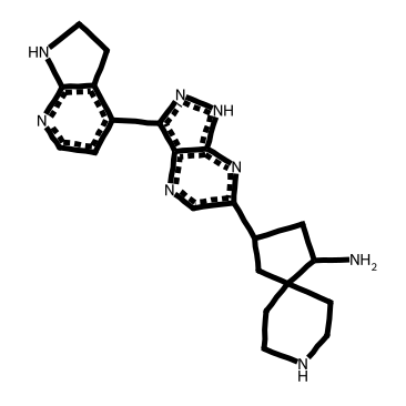 NC1CC(c2cnc3c(-c4ccnc5c4CCN5)n[nH]c3n2)CC12CCNCC2